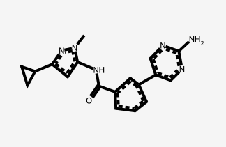 Cn1nc(C2CC2)cc1NC(=O)c1cccc(-c2cnc(N)nc2)c1